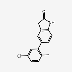 Cc1ccc(Cl)cc1-c1ccc2c(c1)CC(=O)N2